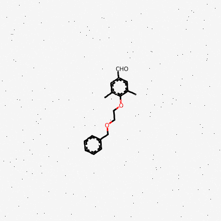 Cc1cc(C=O)cc(C)c1OCCOCc1ccccc1